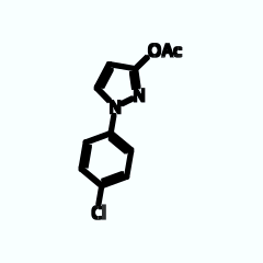 CC(=O)Oc1ccn(-c2ccc(Cl)cc2)n1